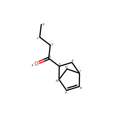 CCCC(=O)C1CC2C=CC1C2